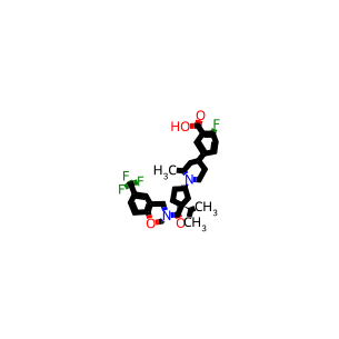 CC1CC(c2ccc(F)c(C(=O)O)c2)CCN1[C@@H]1CC[C@@](C(=O)N2COc3ccc(C(F)(F)F)cc3C2)(C(C)C)C1